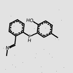 C/N=C/c1ccccc1Pc1cc(C)ccc1O